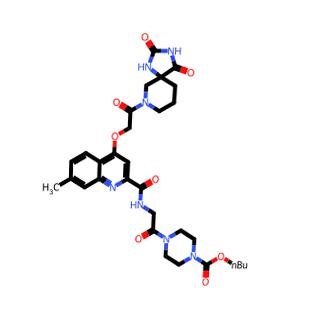 CCCCOC(=O)N1CCN(C(=O)CNC(=O)c2cc(OCC(=O)N3CCCC4(C3)NC(=O)NC4=O)c3ccc(C)cc3n2)CC1